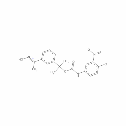 C/C(=N\O)c1cccc(C(C)(C)OC(=O)Nc2ccc(Cl)c([N+](=O)[O-])c2)c1